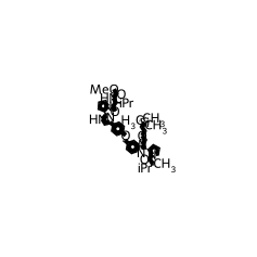 COC(=O)N[C@H](C(=O)N1CCC[C@H]1c1nc(-c2ccc(OCc3ccc4nc([C@@H]5CCCN5C(=O)[C@@H](C)C(C)C)n(COCC[Si](C)(C)C)c4c3)cc2)c[nH]1)C(C)C